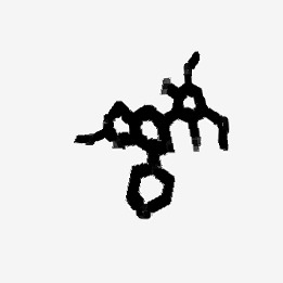 COc1cc(OC)c(F)c(-c2cc3cnc(SC)nc3c(N3CCOCC3)n2)c1F